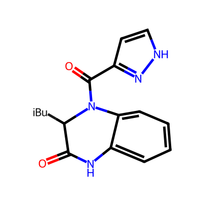 CCC(C)C1C(=O)Nc2ccccc2N1C(=O)c1cc[nH]n1